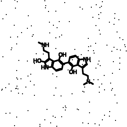 CNCCc1c(O)[nH]c2ccc(-c3ccc4[nH]cc(CCN(C)C)c4c3O)c(O)c12